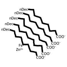 CCCCCCCCCCCCCCCCCC(=O)[O-].CCCCCCCCCCCCCCCCCC(=O)[O-].CCCCCCCCCCCCCCCCCC(=O)[O-].CCCCCCCCCCCCCCCCCC(=O)[O-].CCCCCCCCCCCCCCCCCC(=O)[O-].[Fe+3].[Zn+2]